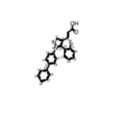 O=C(O)C=Cc1cnn(-c2ccc(-c3ccccc3)cc2)c1-c1ccccc1F